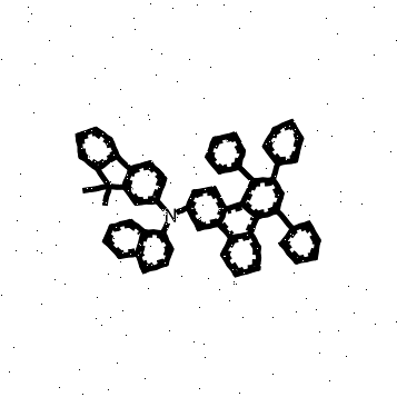 CC1(C)c2ccccc2-c2ccc(N(c3ccc4c(c3)c3ccccc3c3c(-c5ccccc5)cc(-c5ccccc5)c(-c5ccccc5)c43)c3cccc4ccccc34)cc21